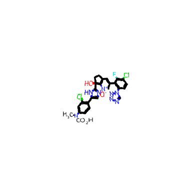 CN(C(=O)O)c1ccc(-c2cnc(C3(O)CCc4cc(-c5c(-n6cnnn6)ccc(Cl)c5F)c[n+]([O-])c43)[nH]2)c(Cl)c1